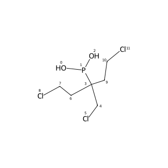 OP(O)C(CCl)(CCCl)CCCl